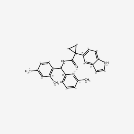 Cc1ccc(C(NC(=O)C2(c3ccc4[nH]c[c]c4c3)CC2)c2cccc(C)n2)c(C)c1